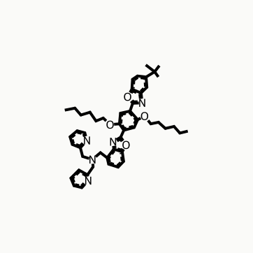 CCCCCCOc1cc(-c2nc3c(CN(Cc4ccccn4)Cc4ccccn4)cccc3o2)c(OCCCCCC)cc1-c1nc2cc(C(C)(C)C)ccc2o1